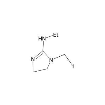 CCNC1=NCCN1CI